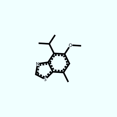 COc1cc(C)c2scnc2c1C(C)C